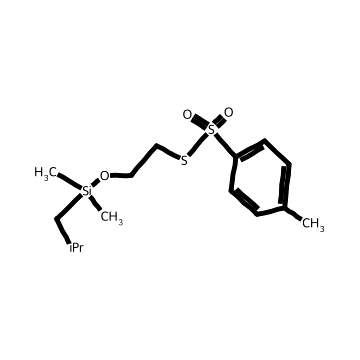 Cc1ccc(S(=O)(=O)SCCO[Si](C)(C)CC(C)C)cc1